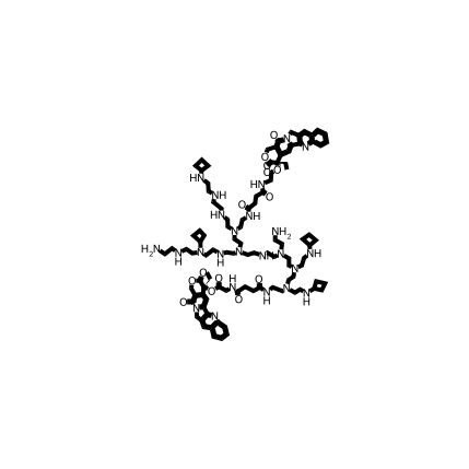 CC[C@@]1(OC(=O)CNC(=O)CCC(=O)NCCN(CCNCCNCCNC2CCC2)CCN(CCNCCN(CCN)CCN(CCNC2CCC2)CCN(CCNC(=O)CCC(=O)NCC(=O)O[C@]2(CC)C(=O)OCc3c2cc2n(c3=O)Cc3cc4ccccc4nc3-2)CCNC2CCC2)CCNCCN(CCNCCN)C2CCC2)C(=O)OCc2c1cc1n(c2=O)Cc2cc3ccccc3nc2-1